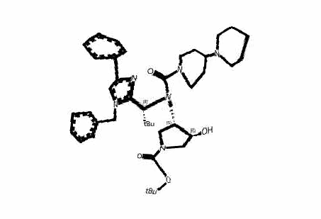 CC(C)(C)OC(=O)N1C[C@H](CN(C(=O)N2CCC(N3CCCCC3)CC2)[C@@H](c2nc(-c3ccccc3)cn2Cc2ccccc2)C(C)(C)C)[C@@H](O)C1